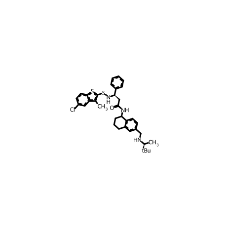 Cc1c(SN[C@H](CC(=O)NC2CCCc3cc(CN[C@@H](C)C(C)(C)C)ccc32)c2ccccc2)sc2ccc(Cl)cc12